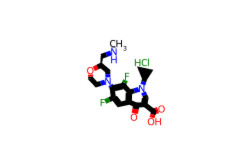 CNC[C@H]1CN(c2c(F)cc3c(=O)c(C(=O)O)cn(C4CC4)c3c2F)CCO1.Cl